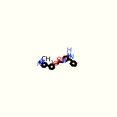 Cn1cnc2ccc(-c3cccc(OCC(O)CN4CCc5[nH]nc(-c6ccccc6)c5C4)c3)cc21